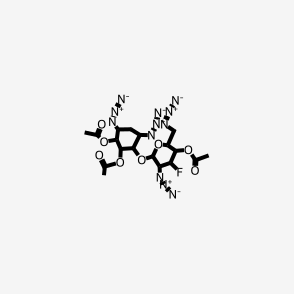 CC(=O)OC1C(CN=[N+]=[N-])OC(OC2C(N=[N+]=[N-])CC(N=[N+]=[N-])C(OC(C)=O)C2OC(C)=O)C(N=[N+]=[N-])C1F